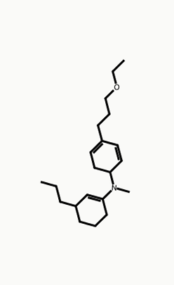 CCCC1C=C(N(C)C2C=CC(CCCOCC)=CC2)CCC1